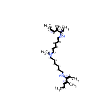 C=C/C=C(C)/C(=C\C)NCCCCCCN(C)CCCCCCN/C(=C/C)C(=C)/C=C\C